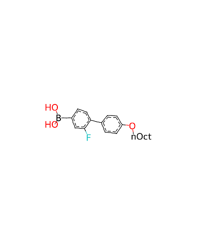 CCCCCCCCOc1ccc(-c2ccc(B(O)O)cc2F)cc1